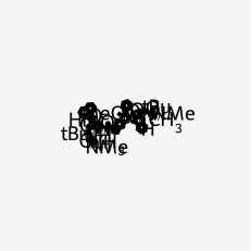 CN[C@@H](C)C(=O)N[C@H](C(=O)N1C[C@@H](NC(=O)n2ccc3cc(CN(C(=O)[C@@H]4Cc5ccccc5CN4C(=O)[C@@H](NC(=O)[C@H](C)NC)C(C)(C)C)C(COC)c4ccccc4)ccc32)C[C@H]1C(=O)N[C@@H]1CCCc2ccccc21)C(C)(C)C